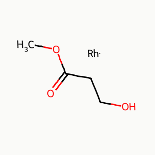 COC(=O)CCO.[Rh]